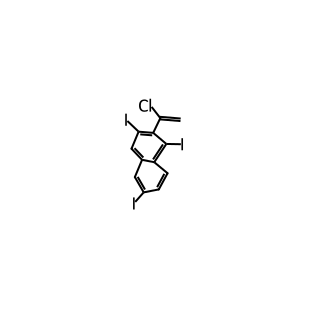 C=C(Cl)c1c(I)cc2cc(I)ccc2c1I